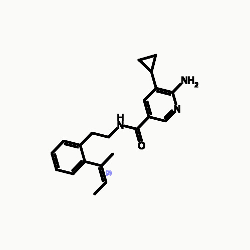 C/C=C(/C)c1ccccc1CCNC(=O)c1cnc(N)c(C2CC2)c1